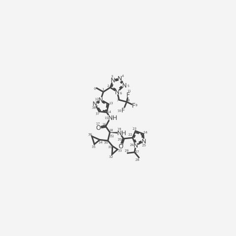 CC(c1nnnn1CC(F)(F)F)n1cc(NC(=O)[C@@H](NC(=O)c2ccnn2C(C)C)C(C2CC2)C2CC2)cn1